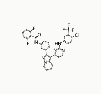 O=C(Nc1cccc(-c2nn3ccccc3c2-c2ccnc(Nc3ccc(Cl)c(C(F)(F)F)c3)n2)c1)c1c(F)cccc1F